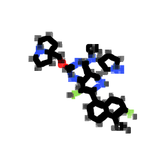 Cc1c(F)ccc2c(-c3ncc4c(N(C)[C@@H]5CCNC5)nc(OCC56CCCN5CCC6)nc4c3F)cccc12